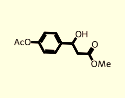 COC(=O)CC(O)c1ccc(OC(C)=O)cc1